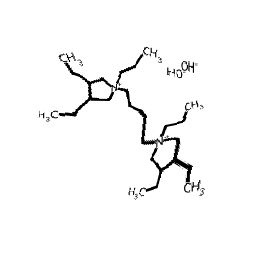 CCC[N+]1(CCCC[N+]2(CCC)CC(CC)C(CC)C2)CC(CC)C(CC)C1.[OH-].[OH-]